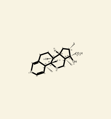 C[C@H]1C[C@H]2[C@@H]3CCC4=COC=C[C@]4(C)[C@@]3(F)OC[C@]2(C)[C@@]1(O)C(=O)O